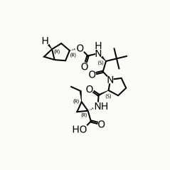 CC[C@@H]1C[C@]1(NC(=O)[C@@H]1CCCN1C(=O)[C@@H](NC(=O)O[C@@H]1CC2C[C@@H]2C1)C(C)(C)C)C(=O)O